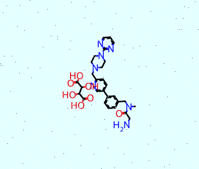 CN(Cc1cccc(-c2ccc(CN3CCN(c4ncccn4)CC3)nc2)c1)C(=O)CN.O=C(O)C(O)C(O)C(=O)O